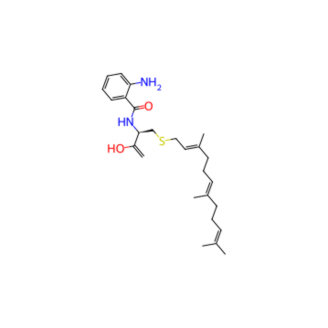 C=C(O)[C@H](CSC/C=C(\C)CC/C=C(\C)CCC=C(C)C)NC(=O)c1ccccc1N